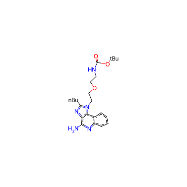 CCCCc1nc2c(N)nc3ccccc3c2n1CCOCCNC(=O)OC(C)(C)C